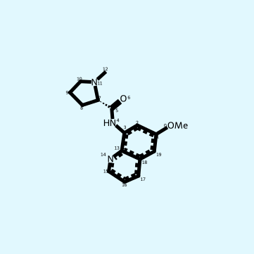 COc1cc(NC(=O)[C@@H]2CCCN2C)c2ncccc2c1